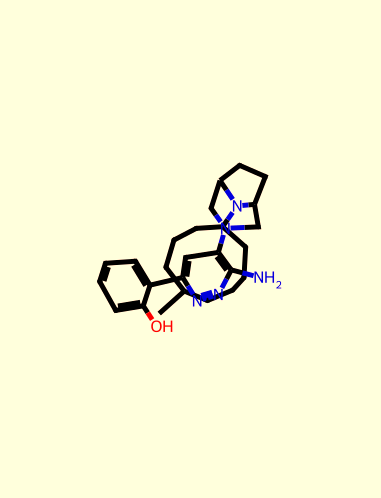 CC1CCCCC(N2C3CCC2CN(c2cc(-c4ccccc4O)nnc2N)C3)CCC1